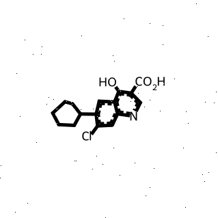 O=C(O)c1cnc2cc(Cl)c(C3CCCCC3)cc2c1O